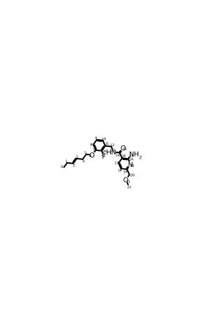 CC/C=C/CCOc1cccc(CNC(=O)c2ccc(COC)nc2N)c1F